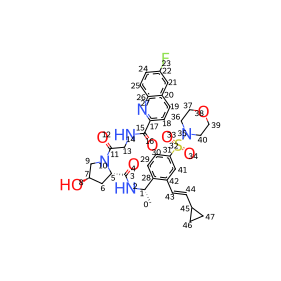 C[C@H](NC(=O)[C@@H]1C[C@@H](O)CN1C(=O)CNC(=O)c1ccc2cc(F)ccc2n1)c1ccc(S(=O)(=O)N2CCOCC2)cc1/C=C/C1CC1